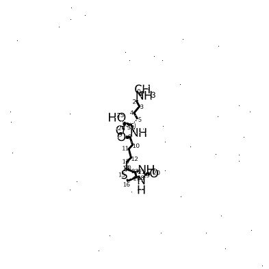 CNCCCC[C@H](NC(=O)CCCC[C@@H]1SCC2NC(=O)NC21)C(=O)O